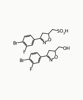 O=S(=O)(O)CC1CC(c2ccc(Br)c(F)c2)=NO1.OCC1CC(c2ccc(Br)c(F)c2)=NO1